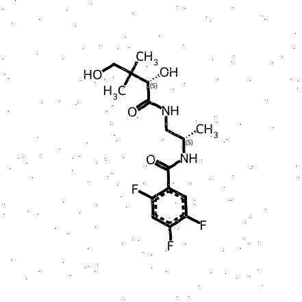 C[C@@H](CNC(=O)[C@@H](O)C(C)(C)CO)NC(=O)c1cc(F)c(F)cc1F